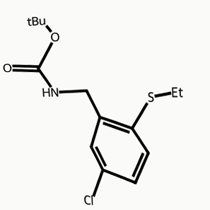 CCSc1ccc(Cl)cc1CNC(=O)OC(C)(C)C